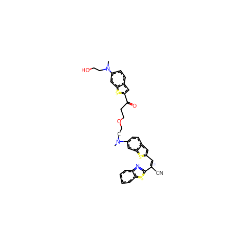 CN(CCO)c1ccc2cc(C(=O)CCOCCN(C)c3ccc4cc(/C=C(/C#N)c5nc6ccccc6s5)sc4c3)sc2c1